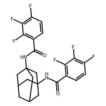 O=C(NC12CC3CC(C1)CC(NC(=O)c1ccc(F)c(F)c1F)(C3)C2)c1ccc(F)c(F)c1F